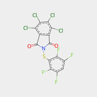 O=C1c2c(Cl)c(Cl)c(Cl)c(Cl)c2C(=O)N1Sc1c(F)c(F)cc(F)c1F